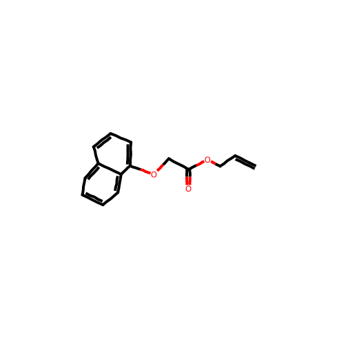 C=CCOC(=O)COc1cccc2ccccc12